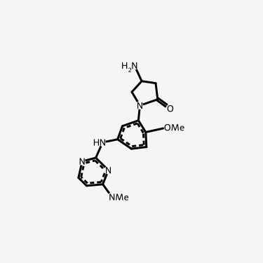 CNc1ccnc(Nc2ccc(OC)c(N3CC(N)CC3=O)c2)n1